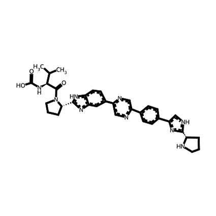 CC(C)[C@H](NC(=O)O)C(=O)N1CCC[C@H]1c1nc2cc(-c3cnc(-c4ccc(-c5c[nH]c([C@@H]6CCCN6)n5)cc4)cn3)ccc2[nH]1